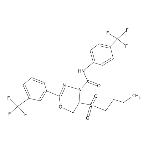 CCCCS(=O)(=O)C1COC(c2cccc(C(F)(F)F)c2)=NN1C(=O)Nc1ccc(C(F)(F)F)cc1